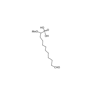 COC(CCCCCCCCCC=O)P(=O)(O)O